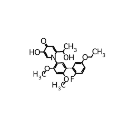 CCOc1ccc(F)c(-c2cc(-n3cc(O)c(=O)cc3C(C)O)c(OC)cc2OC)c1